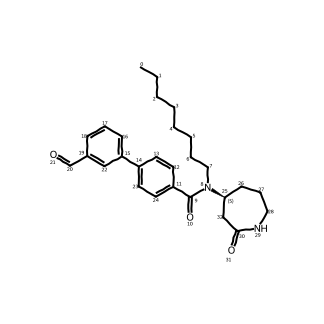 CCCCCCCCN(C(=O)c1ccc(-c2cccc(C=O)c2)cc1)[C@H]1CCCNC(=O)C1